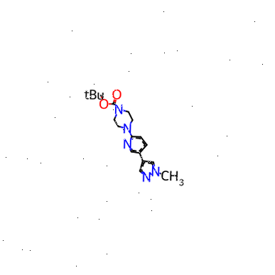 Cn1cc(-c2ccc(N3CCN(C(=O)OC(C)(C)C)CC3)nc2)cn1